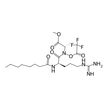 CCCCCCCC(=O)N[C@H](CCCNC(=N)N)C(=O)N(OC(=O)C(F)(F)F)[C@@H](C)C(=O)OC